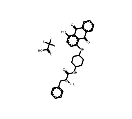 N[C@@H](Cc1ccccc1)C(=O)NC1CCC(Nc2ccc(O)c3c2C(=O)c2ccccc2C3=O)CC1.O=C(O)C(F)(F)F